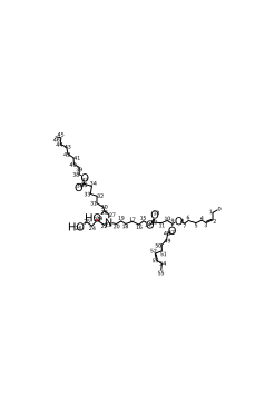 CC/C=C\CCCCOC(CCC(=O)OCCCCCCN(CCCCO)CC(O)CCCCCC(=O)OCCCCCCCCC)OCCCC/C=C\CC